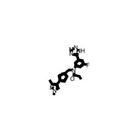 CCC(=O)N(Cc1ccc(-c2cn(C)nc2C)cc1)c1cc(F)cc(-c2nnn[nH]2)c1